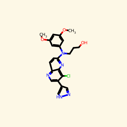 COc1cc(OC)cc(N(CCCO)c2ccc3ncc(-c4cn[nH]c4)c(Cl)c3n2)c1